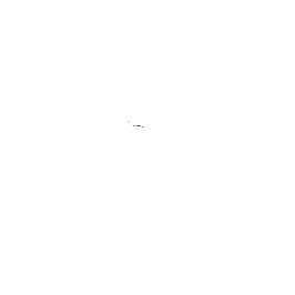 O=C(O)N[C@H]1CCOc2ccc(O)cc21